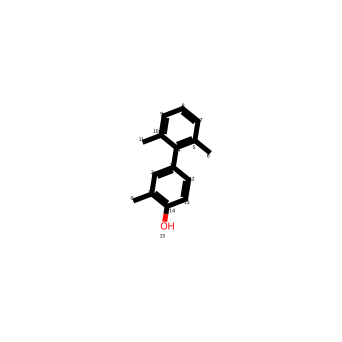 Cc1cc(-c2c(C)cccc2C)ccc1O